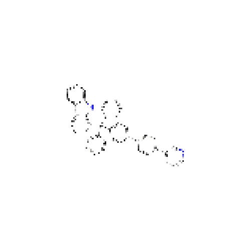 c1ccc(C2(c3ccc(-c4ccc(-c5cccnc5)cc4)cc3)c3ccccc3-n3c4ccccc4c4cccc2c43)cc1